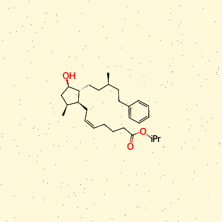 CC(C)OC(=O)CCC/C=C\C[C@@H]1[C@@H](CC[C@@H](C)CCc2ccccc2)[C@H](O)C[C@@H]1C